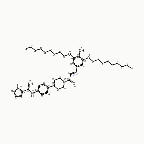 CCCCCCCCCOc1cc(/C=C/C(=O)N2CCN(c3ccc(NC(=N)c4ccc[nH]4)cc3)CC2)cc(OCCCCCCCCC)c1O